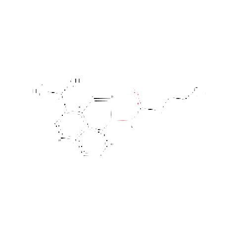 CCCCC(=O)OC1C=Cc2c(C(C)C)ccc3cccc1c23